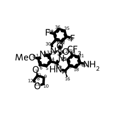 COc1nc2c(cc1O[C@H]1CCOC1)C(N[C@H](C)c1cc(N)cc(C(F)(F)F)c1)=NS(=O)(=O)N2Cc1cc(F)ccc1F